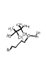 CC(C)(O)C(C)(C)O.OBOCCCCBr